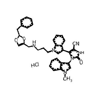 Cl.Cn1cc(-n2c(-c3cn(CCCNCC4=COC(Cc5ccccc5)O4)c4ccccc34)c(C#N)[nH]c2=O)c2ccccc21